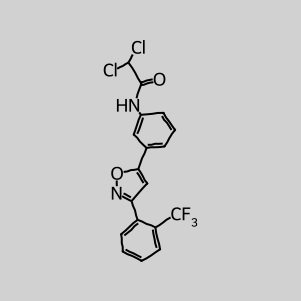 O=C(Nc1cccc(-c2cc(-c3ccccc3C(F)(F)F)no2)c1)C(Cl)Cl